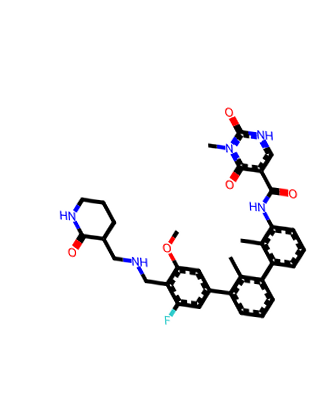 COc1cc(-c2cccc(-c3cccc(NC(=O)c4c[nH]c(=O)n(C)c4=O)c3C)c2C)cc(F)c1CNCC1CCCNC1=O